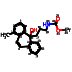 Cc1cccc2c1C=Cc1ccccc1C2(O)CCCNC(=O)OC(C)C